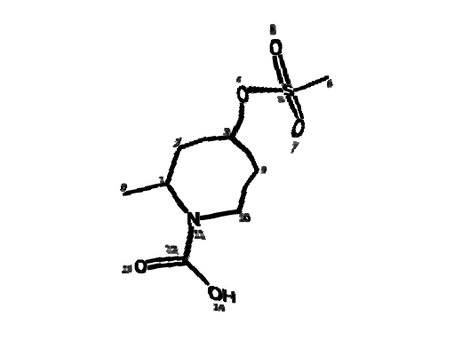 CC1CC(OS(C)(=O)=O)CCN1C(=O)O